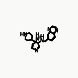 NC1(C2CCNCC2)C=CN=CC1NCc1ccc2nccnc2c1